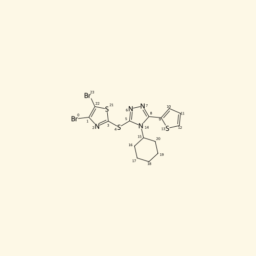 Brc1nc(Sc2nnc(-c3cccs3)n2C2CCCCC2)sc1Br